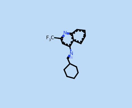 FC(F)(F)c1cc(/N=C/C2CCCCC2)c2ccccc2n1